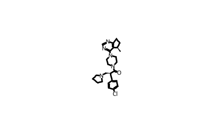 C[C@@H]1CCc2ncnc(N3CCN(C(=O)[C@H](CN4CCCC4)c4ccc(Cl)cc4)CC3)c21